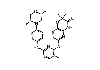 C[C@H]1CN(c2ccc(Nc3ncc(F)c(Nc4ccc5c(n4)NC(=O)C(C)(C)O5)n3)cn2)[C@@H](C)CO1